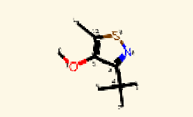 COc1c(C(C)(C)C)nsc1C